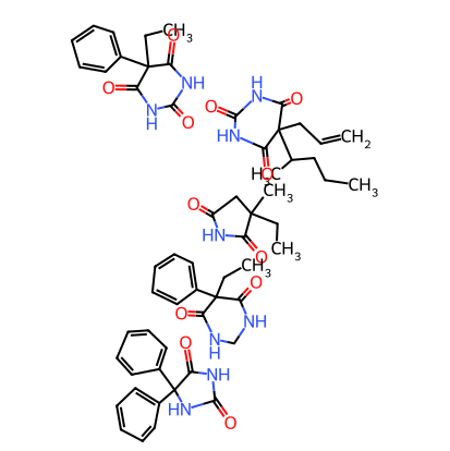 C=CCC1(C(C)CCC)C(=O)NC(=O)NC1=O.CCC1(C)CC(=O)NC1=O.CCC1(c2ccccc2)C(=O)NC(=O)NC1=O.CCC1(c2ccccc2)C(=O)NCNC1=O.O=C1NC(=O)C(c2ccccc2)(c2ccccc2)N1